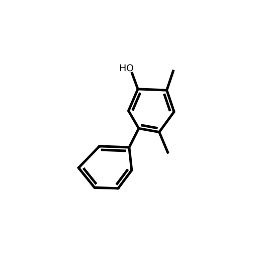 Cc1cc(C)c(-c2ccccc2)cc1O